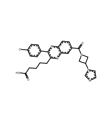 O=C(O)CCCCc1nc2cc(C(=O)N3CC(n4ccnc4)C3)ccc2nc1-c1ccc(Cl)cc1